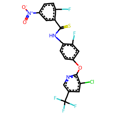 O=[N+]([O-])c1ccc(F)c(C(=S)Nc2ccc(Oc3ncc(C(F)(F)F)cc3Cl)cc2F)c1